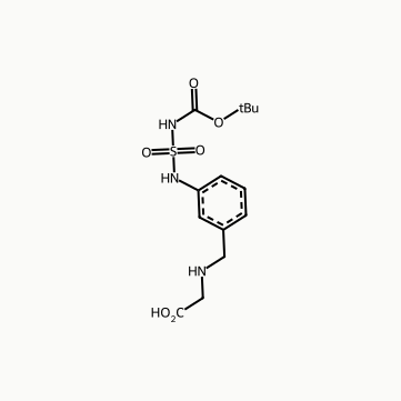 CC(C)(C)OC(=O)NS(=O)(=O)Nc1cccc(CNCC(=O)O)c1